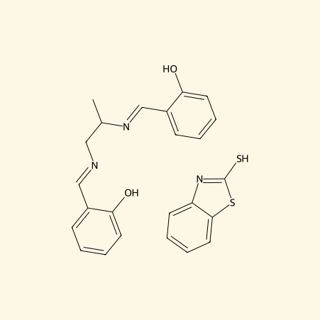 CC(CN=Cc1ccccc1O)N=Cc1ccccc1O.Sc1nc2ccccc2s1